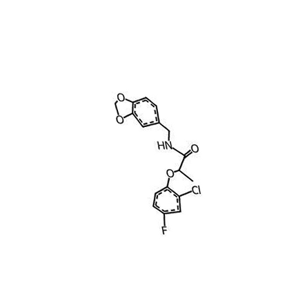 CC(Oc1ccc(F)cc1Cl)C(=O)NCc1ccc2c(c1)OCO2